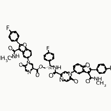 CNC(=O)c1c(-c2ccc(F)cc2)oc2ccc(-n3cc(C(=O)N[C@H](COC(=O)c4cn(-c5ccc6oc(-c7ccc(F)cc7)c(C(=O)NC)c6c5)c(=O)cn4)c4ccc(F)cc4)ncc3=O)cc12